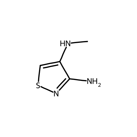 CNc1csnc1N